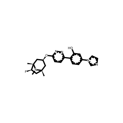 CN1[C@]2(C)C[C@H](Oc3ccc(-c4ccc(-n5ccnc5)cc4O)nn3)C[C@@]1(C)[C@H](F)C2